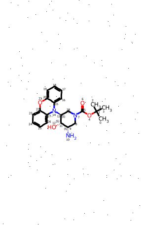 CC(C)(C)OC(=O)N1C[C@H](N)[C@H](O)[C@@H](N2c3ccccc3Oc3ccccc32)C1